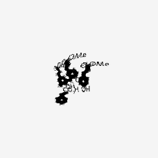 COC(=O)CCc1ccc(O)c(Cc2cc(CCC(=O)OC)cc(C)c2O)c1.COC(=O)CCc1ccc(O)cc1.O=C(O)CCc1ccccc1